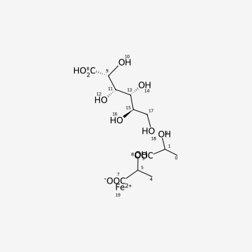 CC(O)C(=O)[O-].CC(O)C(=O)[O-].O=C(O)[C@H](O)[C@@H](O)[C@H](O)[C@H](O)CO.[Fe+2]